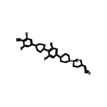 C=CC1CCC(C2CCC(c3cc(F)c(C4CCC(c5cc(F)c(C#N)c(F)c5)CC4)c(F)c3)CC2)CC1